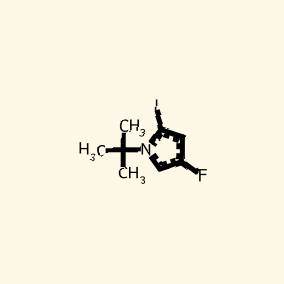 CC(C)(C)n1cc(F)cc1I